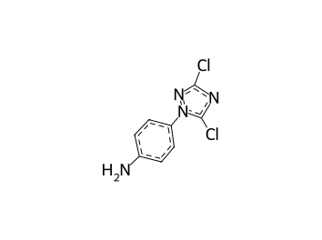 Nc1ccc(-n2nc(Cl)nc2Cl)cc1